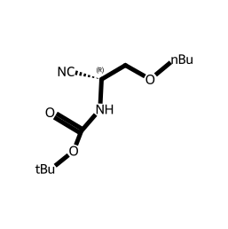 CCCCOC[C@@H](C#N)NC(=O)OC(C)(C)C